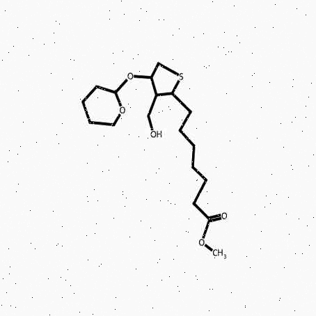 COC(=O)CCCCCCC1SCC(OC2CCCCO2)C1CO